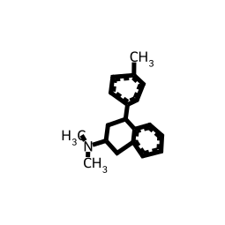 Cc1ccc(C2CC(N(C)C)Cc3ccccc32)cc1